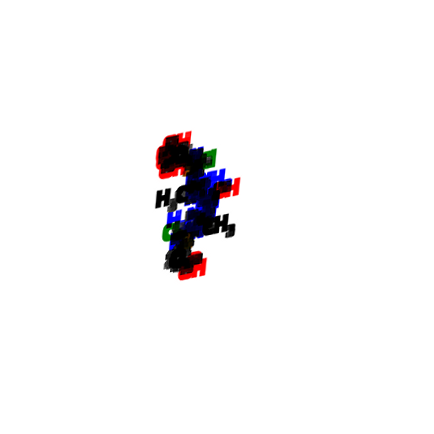 Cc1nn(-c2nc(O)nc(-n3nc(C)c(N=Nc4sc(-c5ccc(C(=O)O)c(C(=O)O)c5)nc4Cl)c3N)n2)c(N)c1N=Nc1sc(-c2cccc(C(=O)O)c2)nc1Cl